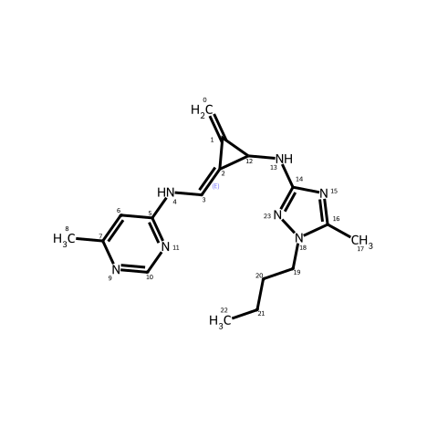 C=C1/C(=C\Nc2cc(C)ncn2)C1Nc1nc(C)n(CCCC)n1